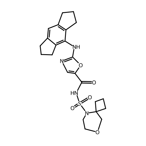 O=C(NS(=O)(=O)N1CCOCC12CCC2)c1cnc(Nc2c3c(cc4c2CCC4)CCC3)o1